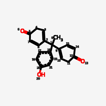 CC(C1=CCC(=O)C=C1)(C1=CCC(=O)C=C1)c1ccc(O)cc1